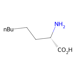 CCCCCC[C@H](N)C(=O)O